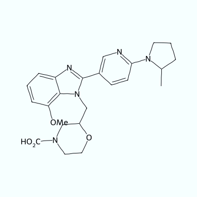 COc1cccc2nc(-c3ccc(N4CCCC4C)nc3)n(CC3CN(C(=O)O)CCO3)c12